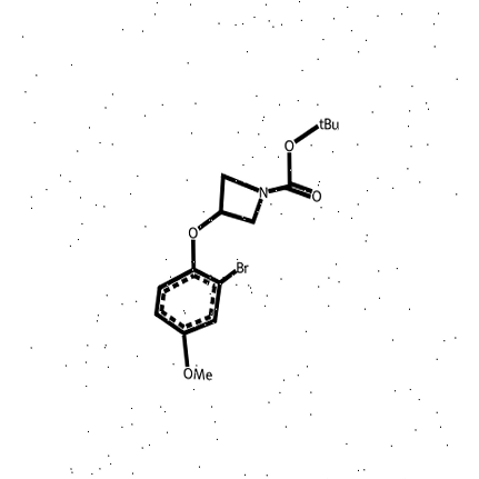 COc1ccc(OC2CN(C(=O)OC(C)(C)C)C2)c(Br)c1